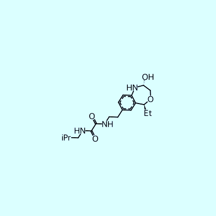 CC[C@@H]1OC[C@@H](O)Nc2ccc(CCNC(=O)C(=O)NCC(C)C)cc21